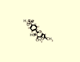 Cc1ccc(C(C)N(O)C(=O)c2ccc(S(C)(=O)=O)cc2)o1